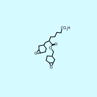 O=C(O)CCCCC(CC1CCC2OC2C1)C(=O)OCC1CCC2OC2C1